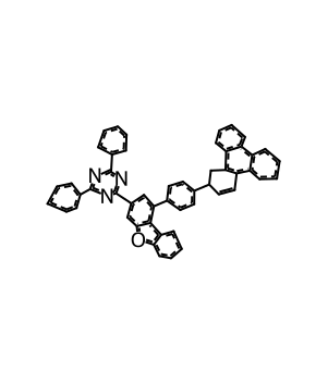 C1=CC(c2ccc(-c3cc(-c4nc(-c5ccccc5)nc(-c5ccccc5)n4)cc4oc5ccccc5c34)cc2)Cc2c1c1ccccc1c1ccccc21